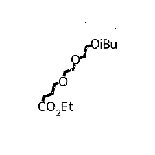 CCOC(=O)CCCOCCOCCOCC(C)C